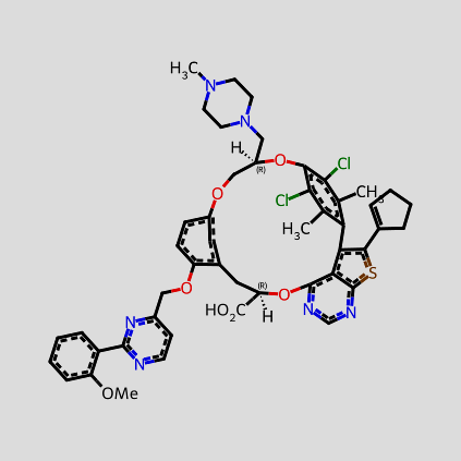 COc1ccccc1-c1nccc(COc2ccc3cc2C[C@H](C(=O)O)Oc2ncnc4sc(C5=CCCC5)c(c24)-c2c(C)c(Cl)c(c(Cl)c2C)O[C@H](CN2CCN(C)CC2)CO3)n1